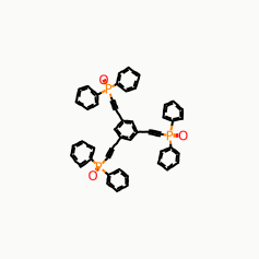 O=P(C#Cc1cc(C#CP(=O)(c2ccccc2)c2ccccc2)cc(C#CP(=O)(c2ccccc2)c2ccccc2)c1)(c1ccccc1)c1ccccc1